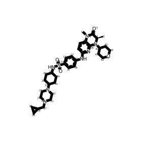 C[C@@H]1C(=O)N(C)c2ccc(Nc3ccc(S(=O)(=O)NC4CCC(N5CCN(CC6CC6)CC5)CC4)cc3)nc2N1C1CCOCC1